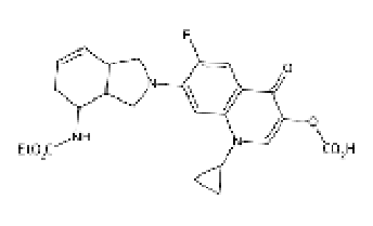 CCOC(=O)NC1CC=CC2CN(c3cc4c(cc3F)c(=O)c(OC(=O)O)cn4C3CC3)CC21